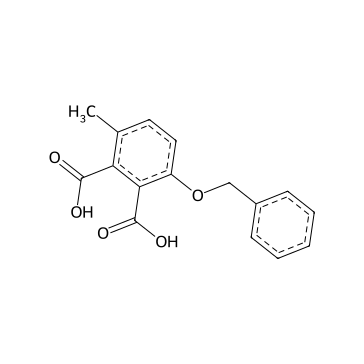 Cc1ccc(OCc2ccccc2)c(C(=O)O)c1C(=O)O